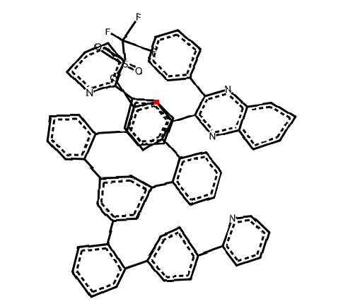 O=S(=O)(Oc1cc(-c2nc3ccccc3nc2-c2ccccc2)ccc1-c1ccccc1-c1cc(-c2ccccc2-c2ccc(-c3ccccn3)cc2)cc(-c2ccccc2-c2ccc(-c3ccccn3)cc2)c1)C(F)(F)F